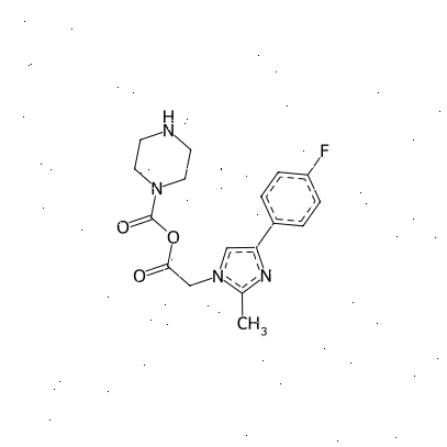 Cc1nc(-c2ccc(F)cc2)cn1CC(=O)OC(=O)N1CCNCC1